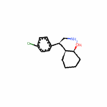 NC[C@H](c1ccc(Cl)cc1)[C@@H]1CCCC[C@@H]1O